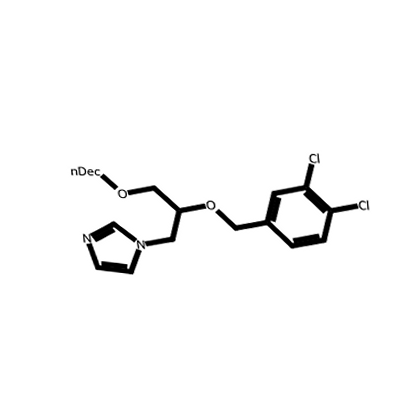 CCCCCCCCCCOCC(Cn1ccnc1)OCc1ccc(Cl)c(Cl)c1